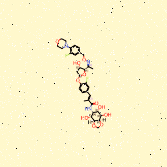 C/C(=N/OCc1ccc(N2CCOCC2)c(F)c1)[C@H]1O[C@@H](Oc2ccc(/C=C(\C)C(=O)N[C@@H]3[C@H](O)[C@@H](O)[C@H]4OCO[C@H]4[C@@H]3O)cc2F)C[C@@H]1O